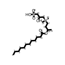 CCCCCCCCCCCC(=O)OC(C)CC[N+](C)(C)CC(O)CS(=O)(=O)O